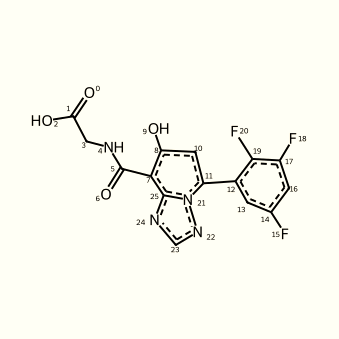 O=C(O)CNC(=O)c1c(O)cc(-c2cc(F)cc(F)c2F)n2ncnc12